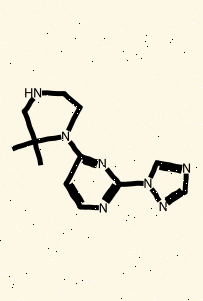 CC1(C)CNCCN1c1ccnc(-n2cncn2)n1